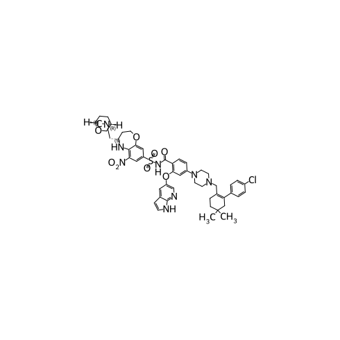 CC1(C)CCC(CN2CCN(c3ccc(C(=O)NS(=O)(=O)c4cc5c(c([N+](=O)[O-])c4)N[C@H](CN4C[C@H]6CC[C@@H]4CO6)CCO5)c(Oc4cnc5[nH]ccc5c4)c3)CC2)=C(c2ccc(Cl)cc2)C1